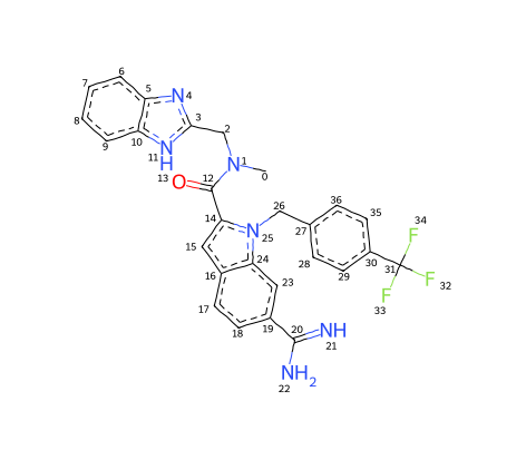 CN(Cc1nc2ccccc2[nH]1)C(=O)c1cc2ccc(C(=N)N)cc2n1Cc1ccc(C(F)(F)F)cc1